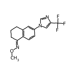 CON=C1CCCc2cc(-n3cnc(C(F)(F)F)c3)ccc21